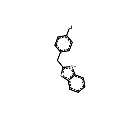 Clc1ccc(Cc2nc3ccc[c]c3[nH]2)cc1